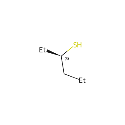 CCC[C@H](S)CC